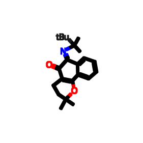 CC1(C)CCC2=C(O1)c1ccccc1/C(=N\C(C)(C)C(C)(C)C)C2=O